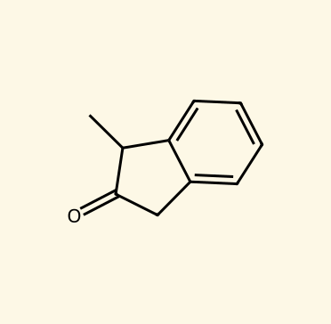 CC1C(=O)Cc2ccccc21